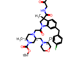 COC(=O)CNC(=O)C1(C)CN(C(=O)CN2C[C@@H](C)N(C(=O)OC(C)(C)C)C[C@@H]2CN2CCOC[C@H]2C)c2cc(Cc3ccc(F)cc3)ccc21